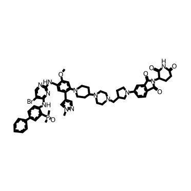 COc1cc(N2CCC(N3CCN(CC4CCN(c5ccc6c(c5)C(=O)N(C5CCC(=O)NC5=O)C6=O)C4)CC3)CC2)c(-c2cnn(C)c2)cc1Nc1ncc(Br)c(Nc2ccc(-c3ccccc3)cc2P(C)(C)=O)n1